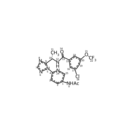 CC(=O)Nc1ccc(-n2ncnc2[C@H](C)NC(=O)c2cc(Cl)cc(OC(F)(F)F)c2)nc1